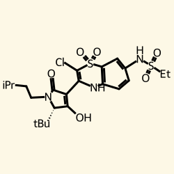 CCS(=O)(=O)Nc1ccc2c(c1)S(=O)(=O)C(Cl)=C(C1=C(O)[C@H](C(C)(C)C)N(CCC(C)C)C1=O)N2